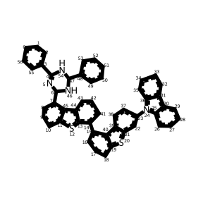 c1ccc(C2=NC(c3cccc4sc5c(-c6cccc7sc8cc(-n9c%10ccccc%10c%10ccccc%109)ccc8c67)cccc5c34)NC(c3ccccc3)N2)cc1